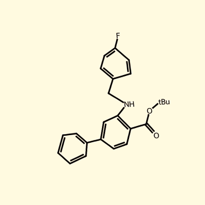 CC(C)(C)OC(=O)c1ccc(-c2ccccc2)cc1NCc1ccc(F)cc1